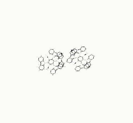 N#Cc1c(-n2c3ccccc3c3ccccc32)c(-n2c3ccccc3c3ccccc32)c(C#N)c(-n2c3ccccc3c3cc(-c4cccc5c4c4ccccc4n5-c4c(-n5c6ccccc6c6ccccc65)c(C#N)c(-n5c6ccccc6c6ccccc65)c(C#N)c4-n4c5ccccc5c5ccccc54)ccc32)c1-n1c2ccccc2c2ccccc21